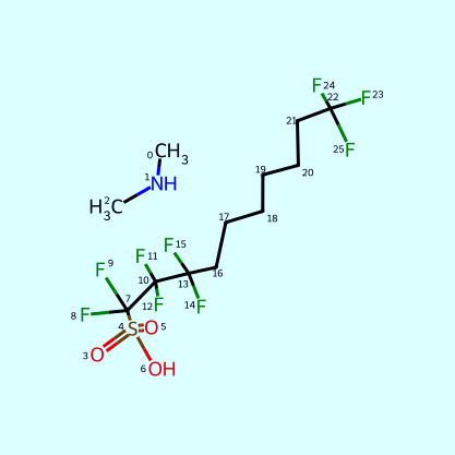 CNC.O=S(=O)(O)C(F)(F)C(F)(F)C(F)(F)CCCCCCC(F)(F)F